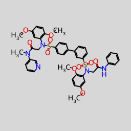 COc1ccc(OC)c(N(CC(=O)Nc2ccccc2)S(=O)(=O)c2cccc(-c3ccc(S(=O)(=O)N(CC(=O)N(C)c4cccnc4)c4cc(OC)ccc4OC)cc3)c2)c1